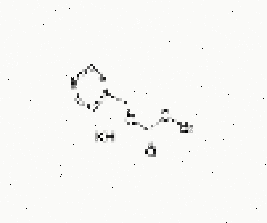 O=C(OBr)OCc1ccccc1.[KH]